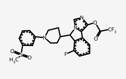 CS(=O)(=O)c1cccc(N2CCC(C3c4c(F)cccc4-c4c(OC(=O)C(F)(F)F)ncn43)CC2)c1